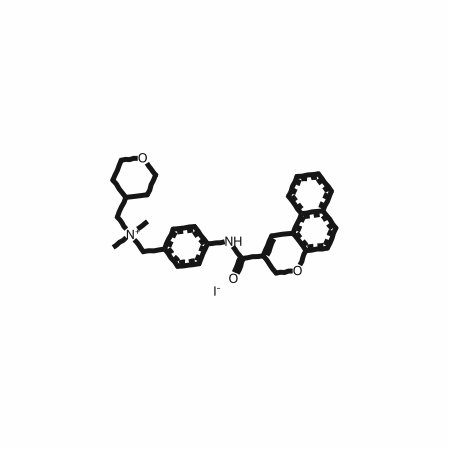 C[N+](C)(Cc1ccc(NC(=O)C2=Cc3c(ccc4ccccc34)OC2)cc1)CC1CCOCC1.[I-]